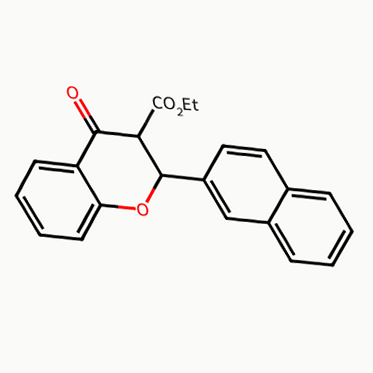 CCOC(=O)C1C(=O)c2ccccc2OC1c1ccc2ccccc2c1